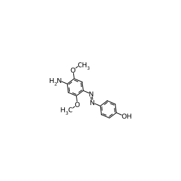 COc1cc(N=Nc2ccc(O)cc2)c(OC)cc1N